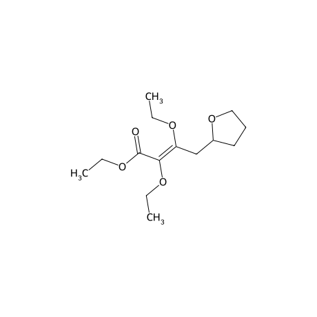 CCOC(=O)C(OCC)=C(CC1CCCO1)OCC